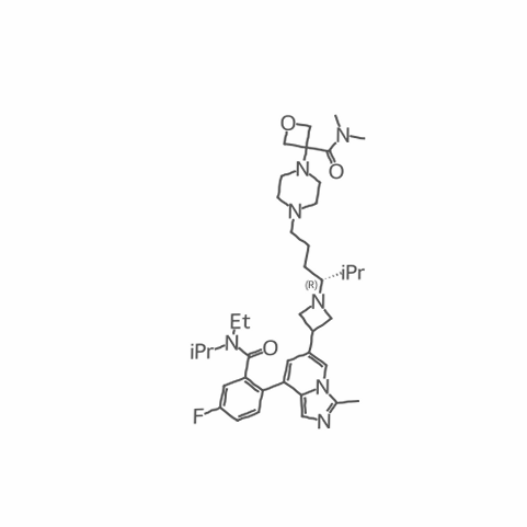 CCN(C(=O)c1cc(F)ccc1-c1cc(C2CN([C@H](CCCN3CCN(C4(C(=O)N(C)C)COC4)CC3)C(C)C)C2)cn2c(C)ncc12)C(C)C